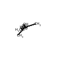 CCCCCCCCCCOC(=O)C(O)(CC(=O)O)CC(=O)OC(CCCCCCC)C(C)=O